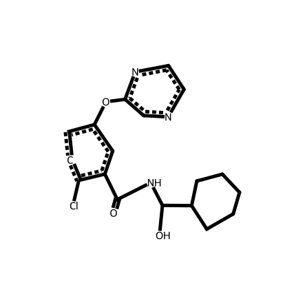 O=C(NC(O)C1CCCCC1)c1cc(Oc2cnccn2)ccc1Cl